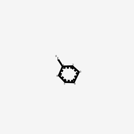 Ic1[c]cccc1